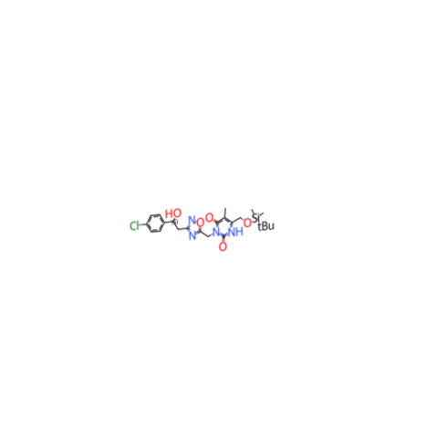 Cc1c(CO[Si](C)(C)C(C)(C)C)[nH]c(=O)n(Cc2nc(C[C@H](O)c3ccc(Cl)cc3)no2)c1=O